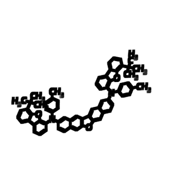 Cc1ccc(N(c2ccc3cc4oc5cc6ccc(N(c7ccc(C)cc7)c7cccc8c7oc7c(C(C)(C)C)cccc78)cc6cc5c4cc3c2)c2cccc3c2oc2c(C(C)(C)C)cccc23)cc1